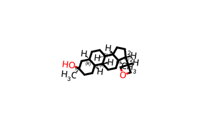 [2H]C1([C@@]2([2H])CC[C@H]3[C@@H]4CC[C@@H]5C[C@](C)(O)CC[C@@H]5[C@H]4CC[C@@]32C)COC1